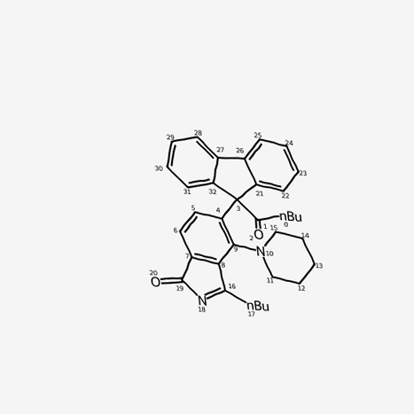 CCCCC(=O)C1(c2ccc3c(c2N2CCCCC2)C(CCCC)=NC3=O)c2ccccc2-c2ccccc21